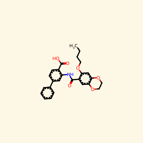 CCCCOc1cc2c(cc1C(=O)Nc1cc(-c3ccccc3)ccc1C(=O)O)OCCO2